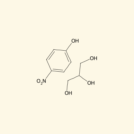 O=[N+]([O-])c1ccc(O)cc1.OCC(O)CO